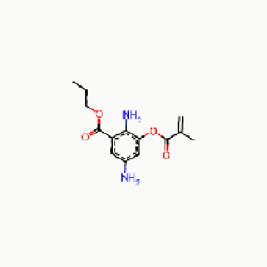 C=C(C)C(=O)Oc1cc(N)cc(C(=O)OCCC)c1N